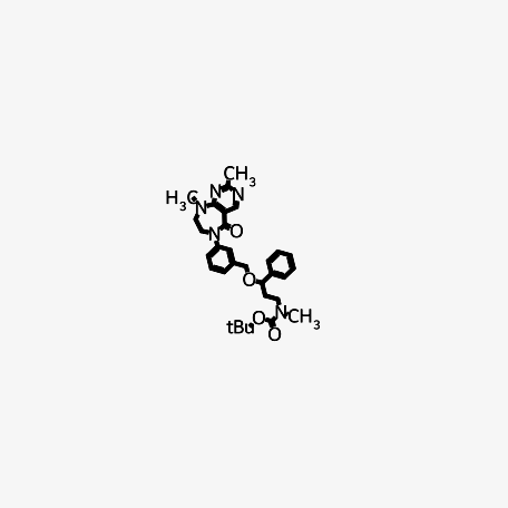 Cc1ncc2c(n1)N(C)CCN(c1cccc(COC(CCN(C)C(=O)OC(C)(C)C)c3ccccc3)c1)C2=O